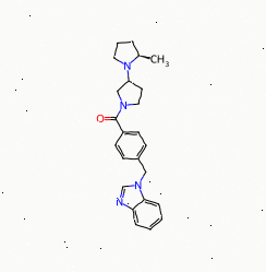 C[C@@H]1CCCN1C1CCN(C(=O)c2ccc(Cn3cnc4ccccc43)cc2)C1